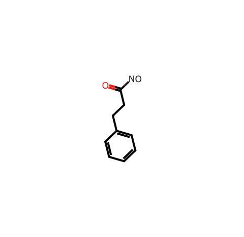 O=NC(=O)CCc1ccccc1